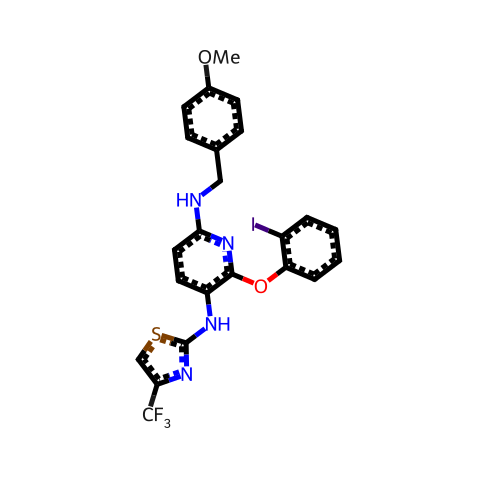 COc1ccc(CNc2ccc(Nc3nc(C(F)(F)F)cs3)c(Oc3ccccc3I)n2)cc1